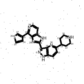 c1cc2[nH]c(-c3n[nH]c4ccc(C5CCNCC5)nc34)nc2c(-c2ccsc2)n1